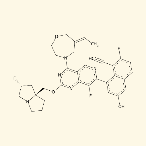 C#Cc1c(F)ccc2cc(O)cc(-c3ncc4c(N5CCOC/C(=C/C)C5)nc(OC[C@@]56CCCN5C[C@H](F)C6)nc4c3F)c12